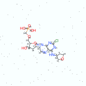 Nc1nc(Cl)nc(N[C@H]2CCOC2)c1/N=C\CC1C[C@H](O)C(COCP(=O)(O)O)O1